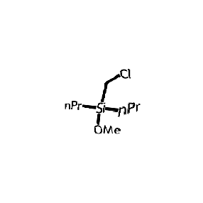 CCC[Si](CCl)(CCC)OC